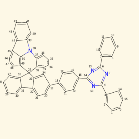 c1ccc(-c2nc(-c3ccccc3)nc(-c3ccc(-c4ccc5c(c4)C4(c6ccccc6-5)c5ccccc5-n5c6ccccc6c6cccc4c65)cc3)n2)cc1